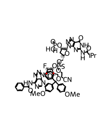 COc1ccc(C(OC[C@H]2O[C@@H](n3nnc4c(NC(=O)c5ccccc5)ncnc43)[C@@H](F)[C@@H]2OP(=S)(OCCC#N)OC[C@@H]2C[C@H](O[PH](=O)O)[C@H](n3nnc4c(=O)[nH]c(NC(=O)C(C)C)nc43)O2)(c2ccccc2)c2ccc(OC)cc2)cc1